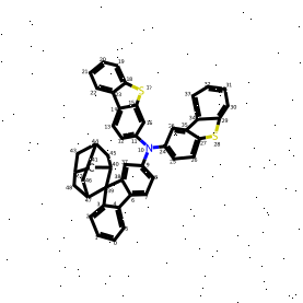 c1ccc2c(c1)-c1ccc(N(c3ccc4c(c3)sc3ccccc34)c3ccc4sc5ccccc5c4c3)cc1C21C2CC3CC(C2)CC1C3